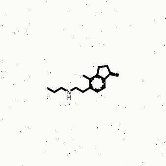 C=C1CCc2c1ccc(CCNCCC)c2C